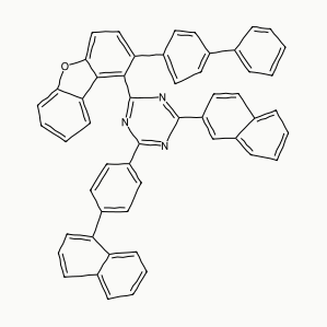 c1ccc(-c2ccc(-c3ccc4oc5ccccc5c4c3-c3nc(-c4ccc(-c5cccc6ccccc56)cc4)nc(-c4ccc5ccccc5c4)n3)cc2)cc1